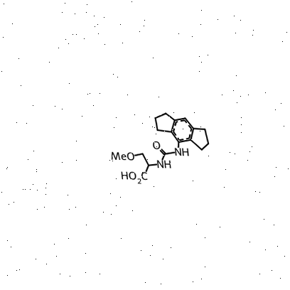 COCC(NC(=O)Nc1c2c(cc3c1CCC3)CCC2)C(=O)O